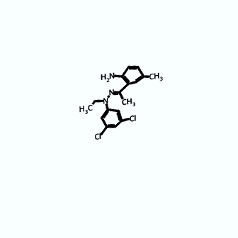 CCN(/N=C(\C)c1cc(C)ccc1N)c1cc(Cl)cc(Cl)c1